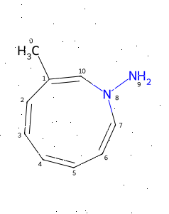 Cc1ccccccn(N)c1